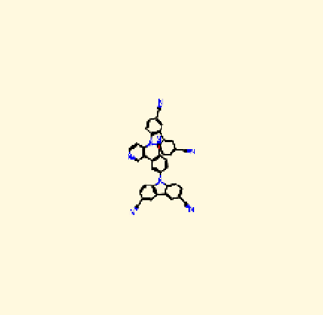 N#Cc1ccc2c(c1)c1cc(C#N)ccc1n2-c1ccc(C#N)c(-c2cnccc2-n2c3ccc(C#N)cc3c3cc(C#N)ccc32)c1